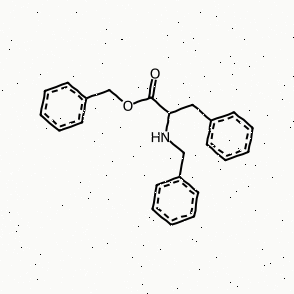 O=C(OCc1ccccc1)C(Cc1ccccc1)NCc1ccccc1